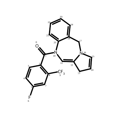 O=C(c1ccc(F)cc1C(F)(F)F)N1C=C2CC=CN2Cc2ccccc21